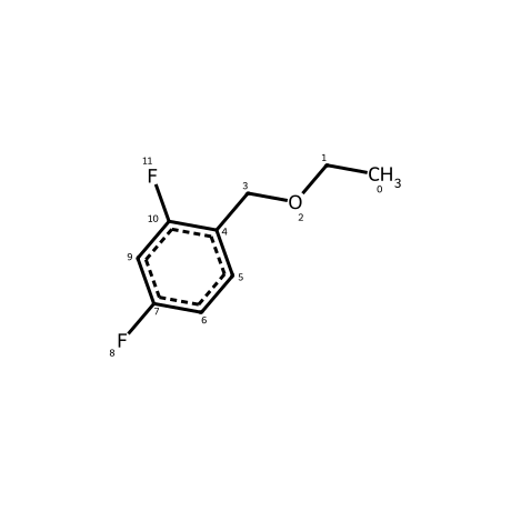 CCOCc1ccc(F)cc1F